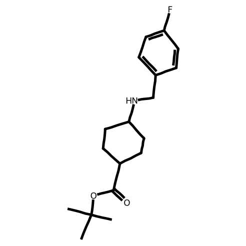 CC(C)(C)OC(=O)C1CCC(NCc2ccc(F)cc2)CC1